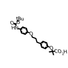 CC(C)(C)OC(=O)Nc1ccc(OCCCc2ccc(OC(C)(C)C(=O)O)cc2)cc1